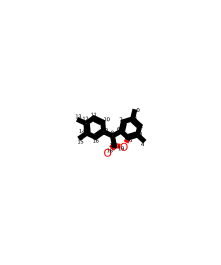 Cc1cc(C)c2c(c1)C(c1ccc(C)c(C)c1)C(=O)O2